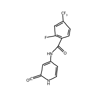 O=C=C1C=C(NC(=O)c2ccc(C(F)(F)F)cc2F)C=CN1